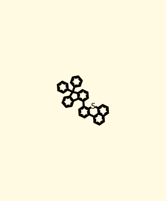 c1ccc(C2(c3ccccc3)c3ccccc3-c3c(-c4cccc5c4Sc4cccc6cccc-5c46)cccc32)cc1